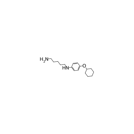 NCCCCCNc1ccc(OC2CCCCC2)cc1